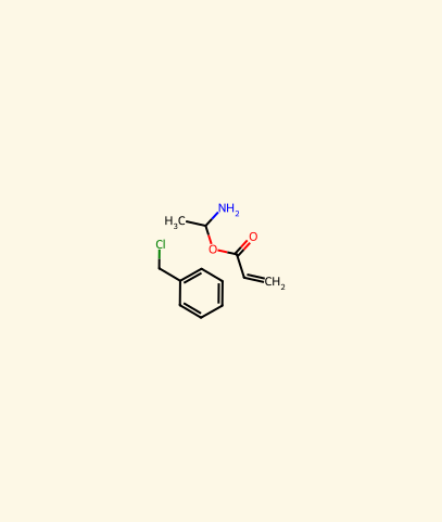 C=CC(=O)OC(C)N.ClCc1ccccc1